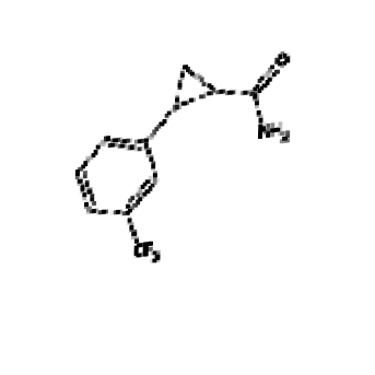 NC(=O)C1CC1c1cccc(C(F)(F)F)c1